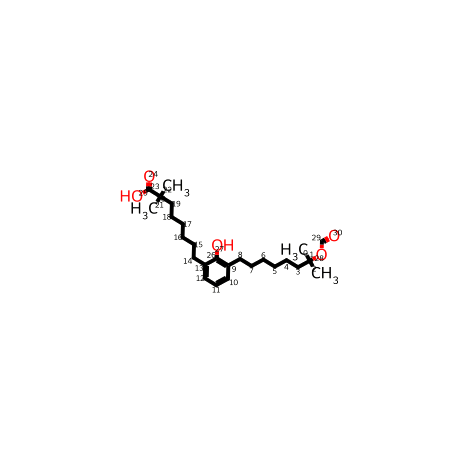 CC(C)(CCCCCCc1cccc(CCCCCCC(C)(C)C(=O)O)c1O)OC=O